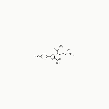 CCC(=O)N(CCCC(C)O)c1cc(C2CC=C(C)CC2)sc1C(=O)O